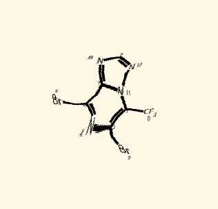 FC(F)(F)c1c(Br)nc(Br)c2ncnn12